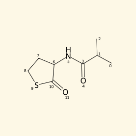 CC(C)C(=O)NC1CCSC1=O